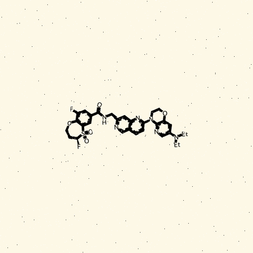 CCN(CC)c1cnc2c(c1)OCCN2c1ccc2cnc(CNC(=O)c3cc(F)c4c(c3)S(=O)(=O)[C@@H](F)CCO4)cc2n1